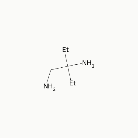 CCC(N)(CC)CN